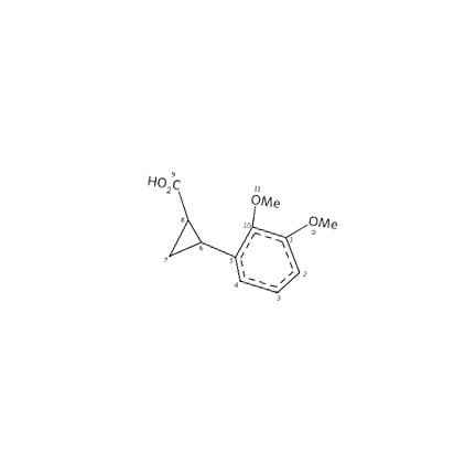 COc1cccc(C2CC2C(=O)O)c1OC